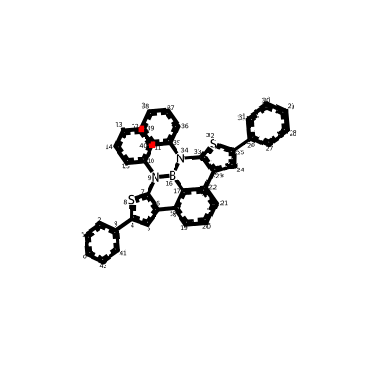 c1ccc(-c2cc3c(s2)N(c2ccccc2)B2c4c-3cccc4-c3cc(-c4ccccc4)sc3N2c2ccccc2)cc1